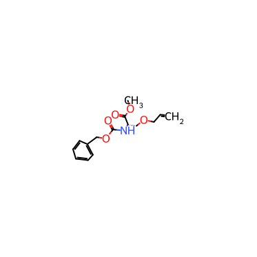 C=CCOC[C@H](NC(=O)OCc1ccccc1)C(=O)OC